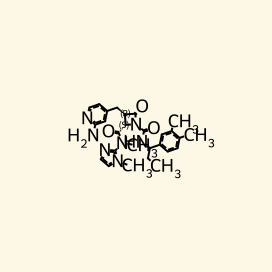 CCC(NC(=O)N1C(=O)[C@H](Cc2ccnc(N)c2)[C@H]1C(=O)N(C)c1nccn1C)c1ccc(C)c(C)c1